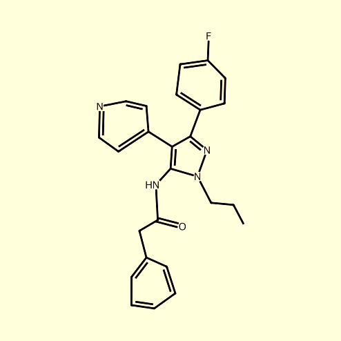 CCCn1nc(-c2ccc(F)cc2)c(-c2ccncc2)c1NC(=O)Cc1ccccc1